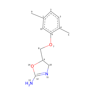 Cc1ccc(C)c(OCC2CN=C(N)O2)c1